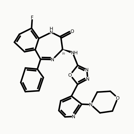 O=C1Nc2c(F)cccc2C(c2ccccc2)=N[C@@H]1Nc1nnc(-c2cccnc2N2CCOCC2)o1